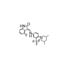 CC1CC(C)CN(c2ccc(N/C=C3/C(=O)Nc4cccc(F)c43)cc2C(F)(F)F)C1